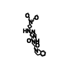 COCCN(CCOC)[C@H]1C[C@H](Nc2cc(C(=O)NC[C@H](O)CN3CCc4ccccc4C3)ncn2)C1